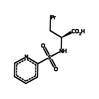 CC(C)C[C@H](NS(=O)(=O)c1ccccn1)C(=O)O